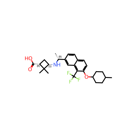 CC1CCC(Oc2ccc3ccc([C@@H](C)N[C@H]4C[C@@H](C(=O)O)C4(C)C)cc3c2C(F)(F)F)CC1